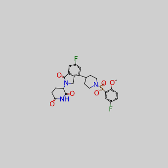 COc1ccc(F)cc1S(=O)(=O)N1CCC(c2cc(F)cc3c2CN(C2CCC(=O)NC2=O)C3=O)CC1